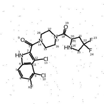 O=C(c1[nH]c2ccc(F)c(Cl)c2c1Cl)N1CCN(C(=O)[C@H]2CC(F)(F)CN2)CC1